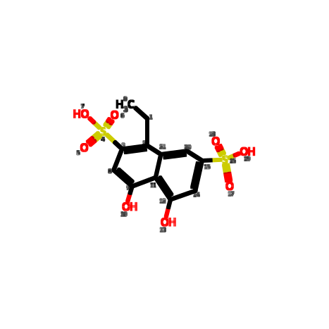 CCc1c(S(=O)(=O)O)cc(O)c2c(O)cc(S(=O)(=O)O)cc12